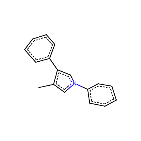 Cc1cn(-c2ccccc2)cc1-c1ccccc1